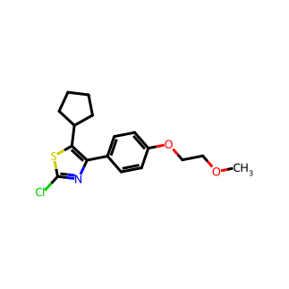 COCCOc1ccc(-c2nc(Cl)sc2C2CCCC2)cc1